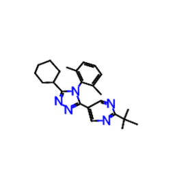 Cc1cccc(C)c1-n1c(-c2cnc(C(C)(C)C)nc2)nnc1C1CCCCC1